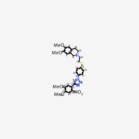 COc1cc2c(cc1OC)CN(CCSc1ccc(-n3nnc(-c4cc(OC)c(OC)cc4[N+](=O)[O-])n3)cc1)CC2